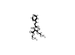 CCOC(=O)C(NC(=O)CCc1ccncc1)C(=O)OCC